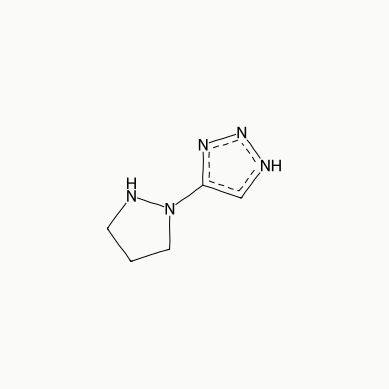 c1[nH]nnc1N1CCCN1